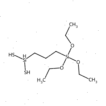 CCO[Si](CCC[SiH](S)S)(OCC)OCC